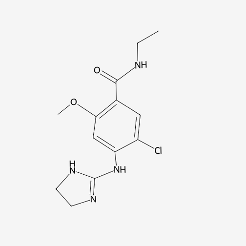 CCNC(=O)c1cc(Cl)c(NC2=NCCN2)cc1OC